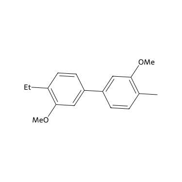 CCc1ccc(-c2ccc(C)c(OC)c2)cc1OC